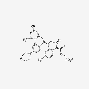 CC[C@@H]1C[C@H](N(Cc2cc(C#N)cc(C(F)(F)F)c2)c2ncc(N3CCOCC3)cn2)c2cc(C(F)(F)F)ccc2N1C(=O)OCC(=O)O